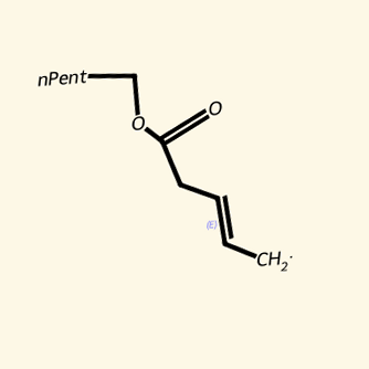 [CH2]/C=C/CC(=O)OCCCCCC